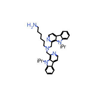 CC(C)n1c2ccccc2c2ccnc(CN(CCCCCCN)Cc3nccc4c5ccccc5n(C(C)C)c34)c21